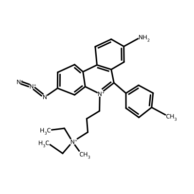 CC[N+](C)(CC)CCC[n+]1c(-c2ccc(C)cc2)c2cc(N)ccc2c2ccc(N=[N+]=[N-])cc21